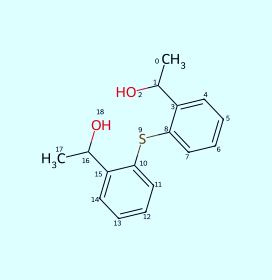 CC(O)c1ccccc1Sc1ccccc1C(C)O